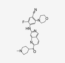 CN1CCC(C(=O)c2ccc3cnc(Nc4cc(N5CCOCC5)c(C#N)cc4F)cc3n2)CC1